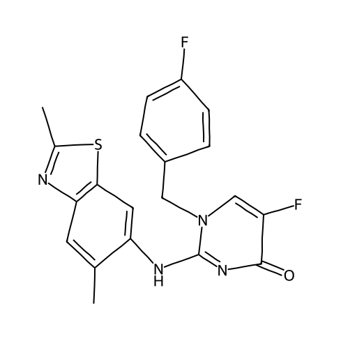 Cc1nc2cc(C)c(Nc3nc(=O)c(F)cn3Cc3ccc(F)cc3)cc2s1